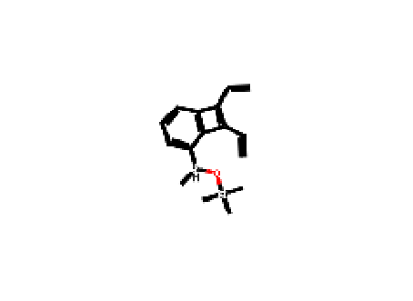 C=CC1=C(C=C)c2c1cccc2[SiH](C)O[Si](C)(C)C